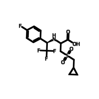 O=C(O)C(CS(=O)(=O)CC1CC1)N[C@H](c1ccc(F)cc1)C(F)(F)F